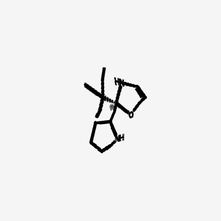 CC(C)(C)[C@]1(C2CCCN2)NC=CO1